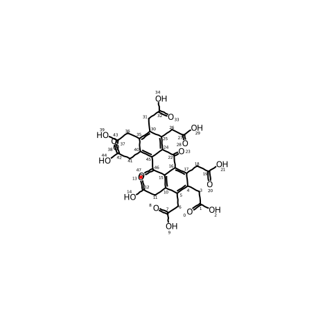 O=C(O)Cc1c(CC(=O)O)c(CC(=O)O)c2c(c1CC(=O)O)C(=O)c1c(CC(=O)O)c(CC(=O)O)c(CC(=O)O)c(CC(=O)O)c1C2=O